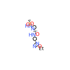 CCOc1cncc(-c2ccc(NC(=O)C(C)(C)c3cccc(NS(=O)(=O)C4CC4)n3)cc2)n1